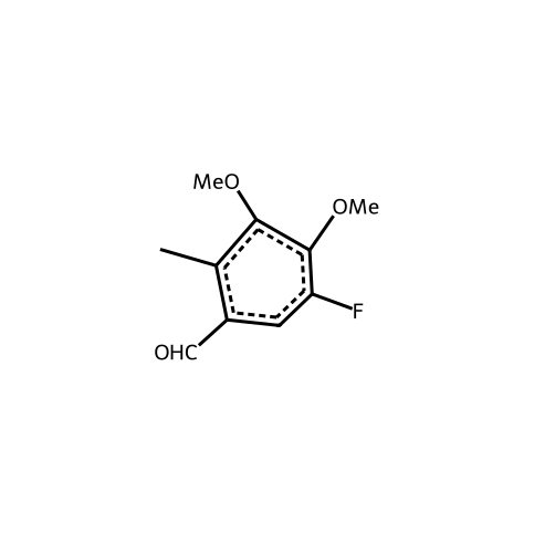 COc1c(F)cc(C=O)c(C)c1OC